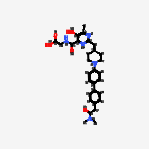 Cc1nc(CC2CCN(c3ccc(-c4ccc(CC(=O)N(C)C)cc4)cc3)CC2)nc(C(=O)NCC(=O)O)c1O